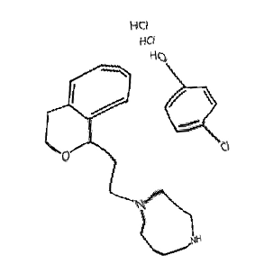 Cl.Cl.Oc1ccc(Cl)cc1.c1ccc2c(c1)CCOC2CCN1CCNCC1